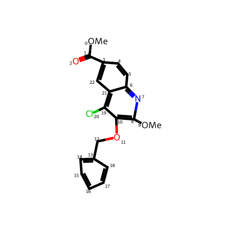 COC(=O)c1ccc2nc(OC)c(OCc3ccccc3)c(Cl)c2c1